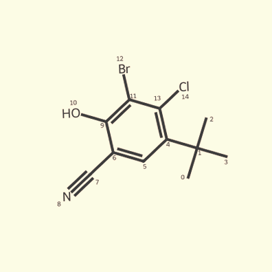 CC(C)(C)c1cc(C#N)c(O)c(Br)c1Cl